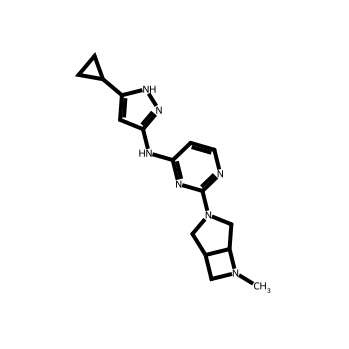 CN1CC2CN(c3nccc(Nc4cc(C5CC5)[nH]n4)n3)CC21